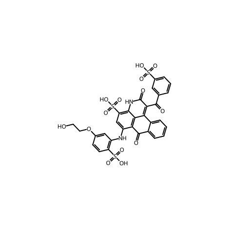 O=C(c1cccc(S(=O)(=O)O)c1)c1c2c3c(c(Nc4cc(OCCO)ccc4S(=O)(=O)O)cc(S(=O)(=O)O)c3[nH]c1=O)C(=O)c1ccccc1-2